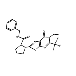 CCn1c(C(F)(F)F)nc2sc(N3CCCC3C(=O)NCc3ccccc3)nc2c1=O